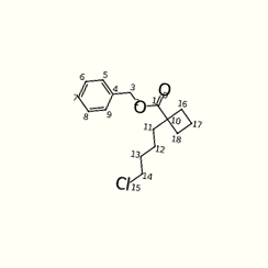 O=C(OCc1ccccc1)C1(CCCCCl)CCC1